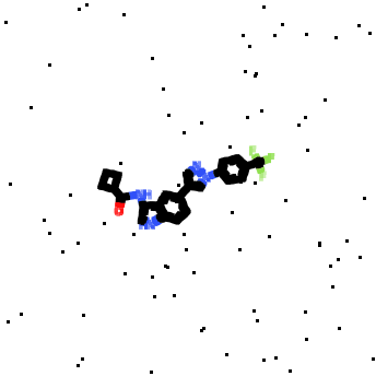 O=C(Nc1c[nH]c2ccc(-c3cnn(-c4ccc(C(F)(F)F)cc4)c3)cc12)C1CCC1